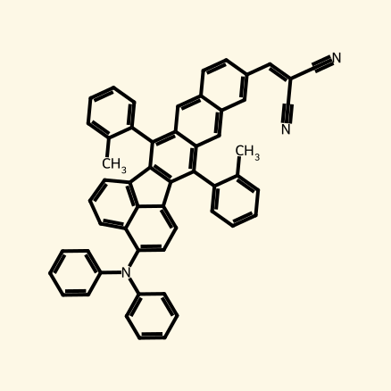 Cc1ccccc1-c1c2c(c(-c3ccccc3C)c3cc4cc(C=C(C#N)C#N)ccc4cc13)-c1ccc(N(c3ccccc3)c3ccccc3)c3cccc-2c13